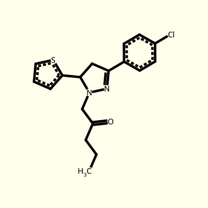 CCCC(=O)CN1N=C(c2ccc(Cl)cc2)CC1c1cccs1